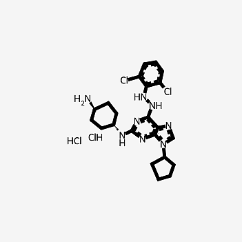 Cl.Cl.N[C@H]1CC[C@H](Nc2nc(NNc3c(Cl)cccc3Cl)c3ncn(C4CCCC4)c3n2)CC1